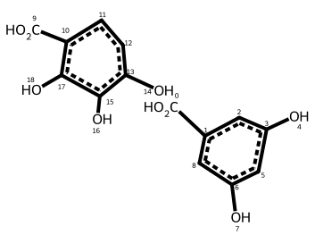 O=C(O)c1cc(O)cc(O)c1.O=C(O)c1ccc(O)c(O)c1O